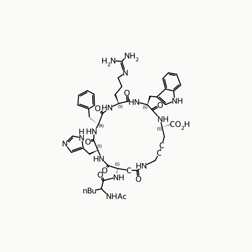 CCCCC(NC(C)=O)C(=O)N[C@H]1CC(=O)NCCCC[C@@H](C(=O)O)NC(=O)[C@H](Cc2c[nH]c3ccccc23)NC(=O)[C@H](CCCN=C(N)N)NC(=O)[C@@H](Cc2ccccc2)NC(=O)[C@H](Cc2cnc[nH]2)NC1=O